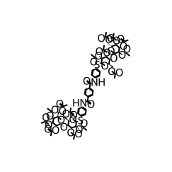 CC(=O)OC[C@H]1O[C@@H](Sc2ccc(NC(=O)c3ccc(C(=O)Nc4ccc(S[C@@H]5O[C@H](COC(C)=O)[C@@H](O[C@H]6O[C@H](COC(C)=O)[C@@H](OC(C)=O)[C@H](OC(C)=O)[C@H]6OC(C)=O)[C@H](OC(C)=O)[C@H]5OC(C)=O)cc4)cc3)cc2)[C@H](OC(C)=O)[C@@H](OC(C)=O)[C@@H]1O[C@H]1O[C@H](COC(C)=O)[C@@H](OC(C)=O)[C@H](OC(C)=O)[C@H]1OC(C)=O